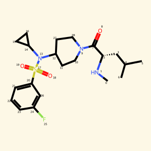 CN[C@@H](CC(C)C)C(=O)N1CCC(N(C2CC2)S(=O)(=O)c2cccc(F)c2)CC1